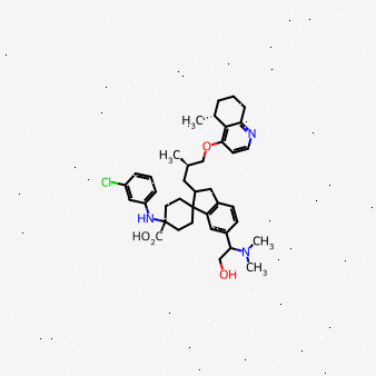 C[C@@H](COc1ccnc2c1[C@H](C)CCC2)CC1Cc2ccc(C(CO)N(C)C)cc2C12CCC(Nc1cccc(Cl)c1)(C(=O)O)CC2